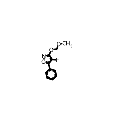 COCOc1noc(-c2ccccc2)c1F